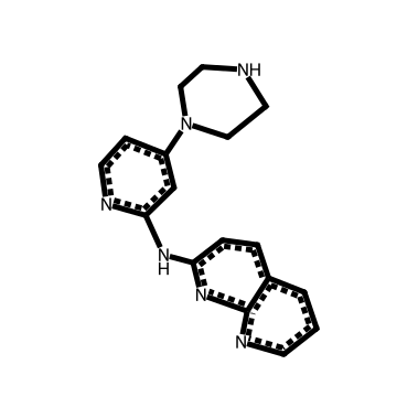 c1cnc2nc(Nc3cc(N4CCNCC4)ccn3)ccc2c1